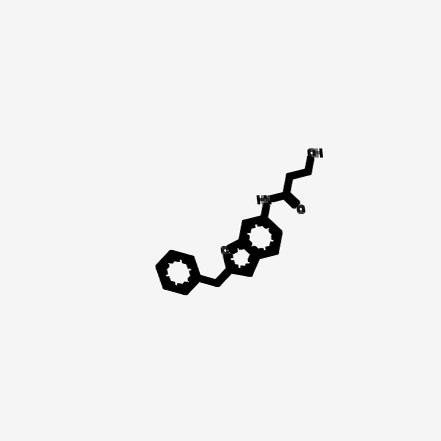 O=C(CCO)Nc1ccc2cc(Cc3ccccc3)oc2c1